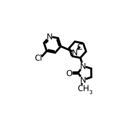 CN1CCN(C2CC3CCC2N(c2cncc(Cl)c2)C3)C1=O